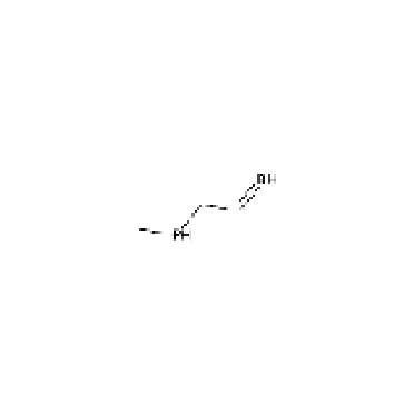 B=CCPC